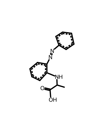 CC(Nc1ccccc1N=Nc1ccccc1)C(=O)O